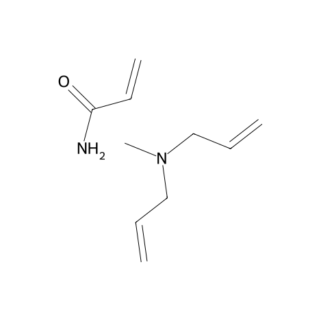 C=CC(N)=O.C=CCN(C)CC=C